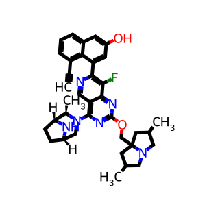 C#Cc1cccc2cc(O)cc(-c3ncc4c(N5C[C@@H]6CC[C@@H](N6)[C@H]5C)nc(OCC56CC(C)CN5CC(C)C6)nc4c3F)c12